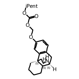 CCCC(C)OC(=O)OCOc1ccc2c(c1)[C@]13CCCC[C@@H]1[C@H](C2)NCC3